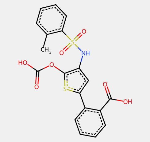 Cc1ccccc1S(=O)(=O)Nc1cc(-c2ccccc2C(=O)O)sc1OC(=O)O